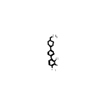 CCC1CCC(c2ccc(-c3ccc(C)c(F)c3Cl)cc2)CC1